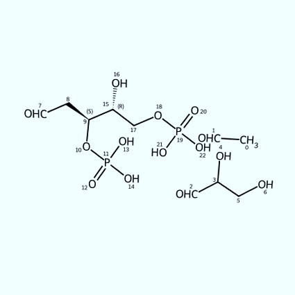 CC=O.O=CC(O)CO.O=CC[C@H](OP(=O)(O)O)[C@H](O)COP(=O)(O)O